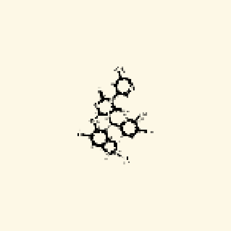 Cc1cncc(-n2c(=O)nc(Nc3cc4cn(C)nc4cc3Cl)n(Cc3ccc(F)c(C#N)n3)c2=O)c1